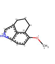 COc1ccc2[nH]cc3c2c1CCC3